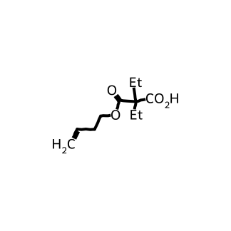 C=CCCOC(=O)C(CC)(CC)C(=O)O